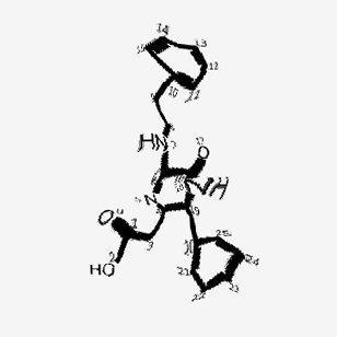 O=C(O)Cc1nc(NCCc2ccccc2)c(=O)[nH]c1-c1ccccc1